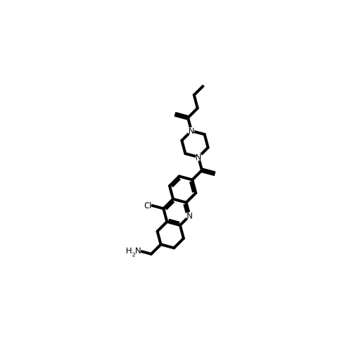 C=C(CCC)N1CCN(C(=C)c2ccc3c(Cl)c4c(nc3c2)CCC(CN)C4)CC1